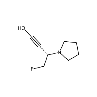 OC#C[C@@H](CF)N1CCCC1